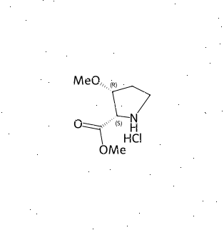 COC(=O)[C@H]1NCC[C@H]1OC.Cl